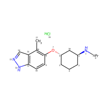 CCCN[C@H]1CCC[C@H](Oc2ccc3[nH]ncc3c2C)C1.Cl